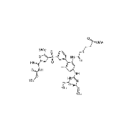 CNC(=O)CCSCC(=O)Nc1cc(N/C(=N/C(=O)OC(C)(C)C)NC(=O)OC(C)(C)C)cc(C)c1-c1cccc(S(=O)(=O)c2cc(C(=N)NC(=O)OC(C)(C)C)sc2SC)c1